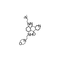 CN(C)CCn1nc2c3c(c(NCCN4CCOCC4)ccc31)C(=O)c1ccncc1-2